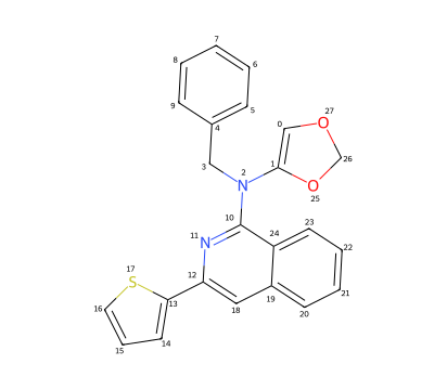 C1=C(N(Cc2ccccc2)c2nc(-c3cccs3)cc3ccccc23)OCO1